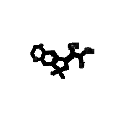 CC(C)(C)C(=O)/C(C#N)=C1\CC(C)(C)c2cc3c(cc21)OCCO3